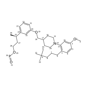 COc1ccc(CCCC(C)(C)C)c(N2CCC(COc3cccc([C@H](C)CCOP=O)c3)CC2)c1